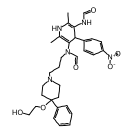 CC1=C(NC=O)C(c2ccc([N+](=O)[O-])cc2)C(N(C=O)CCCN2CCC(OCCO)(c3ccccc3)CC2)=C(C)N1